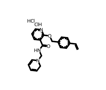 C=Cc1ccc(COc2ncccc2C(=O)NCN2C=CC=CC2)cc1.Cl.Cl